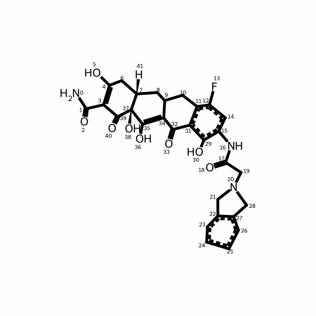 NC(=O)C1=C(O)C[C@@H]2CC3Cc4c(F)cc(NC(=O)CN5Cc6ccccc6C5)c(O)c4C(=O)C3=C(O)[C@]2(O)C1=O